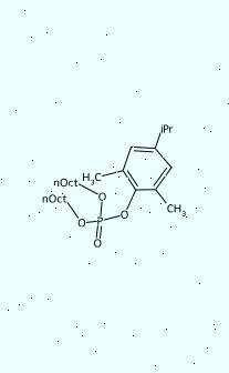 CCCCCCCCOP(=O)(OCCCCCCCC)Oc1c(C)cc(C(C)C)cc1C